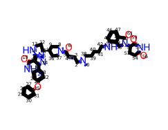 CN(C/C=C/C(=O)N1CCC([C@@H]2CCNc3c(C(N)=O)c(-c4ccc(Oc5ccccc5)cc4)nn32)CC1)CCCCCNc1cccc2c1CN(C1CCC(=O)NC1=O)C2=O